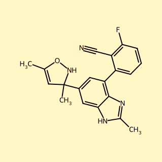 CC1=CC(C)(c2cc(-c3cccc(F)c3C#N)c3nc(C)[nH]c3c2)NO1